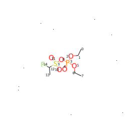 CCOP(=O)(OCC)OS(=O)(=O)C(C)F